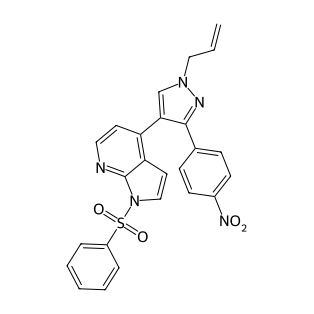 C=CCn1cc(-c2ccnc3c2ccn3S(=O)(=O)c2ccccc2)c(-c2ccc([N+](=O)[O-])cc2)n1